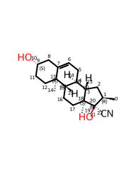 C[C@@H]1C[C@H]2[C@@H]3CC=C4C[C@@H](O)CC[C@]4(C)[C@H]3CC[C@]2(C)[C@@]1(O)C#N